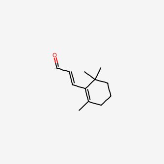 CC1=C(C=C[C]=O)C(C)(C)CCC1